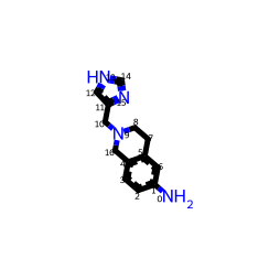 Nc1ccc2c(c1)CCN(Cc1c[nH]cn1)C2